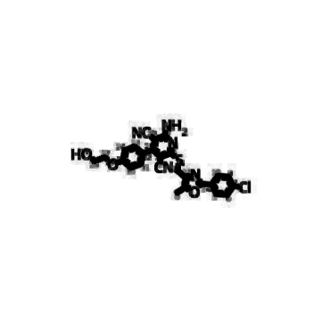 Cc1oc(-c2ccc(Cl)cc2)nc1CSc1nc(N)c(C#N)c(-c2ccc(OCCO)cc2)c1C#N